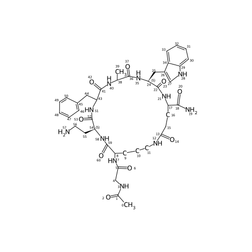 CC(=O)NCC(=O)NC1CCCNC(=O)CCC(C(N)=O)NC(=O)[C@H](Cc2c[nH]c3ccccc23)NC(=O)C(C)NC(=O)C(Cc2ccccc2)NC(=O)[C@H](CCN)NC1=O